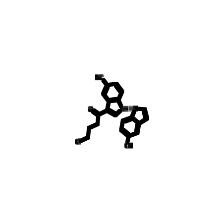 N#Cc1ccc2[nH]cc(C(=O)CCCCl)c2c1.N#Cc1ccc2[nH]ccc2c1